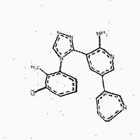 Cc1c(Cl)cccc1-n1cnnc1-c1cc(-c2cccnc2)cnc1N